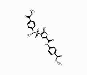 COC(=O)c1ccc(NC(=O)c2cc(S(=O)(=O)N(C)c3ccc(C(=O)OC)cc3)c(Br)s2)cc1